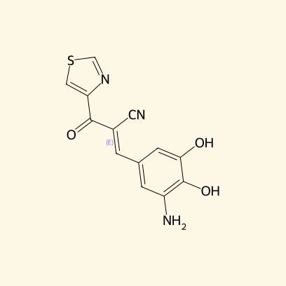 N#C/C(=C\c1cc(N)c(O)c(O)c1)C(=O)c1cscn1